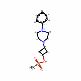 CS(=O)(=O)OC1CC(N2CCN(c3ccccc3)CC2)C1